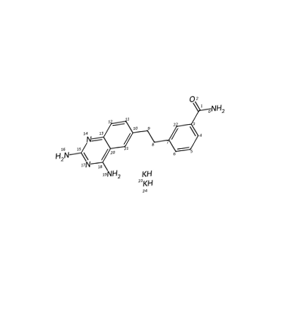 NC(=O)c1cccc(CCc2ccc3nc(N)nc(N)c3c2)c1.[KH].[KH]